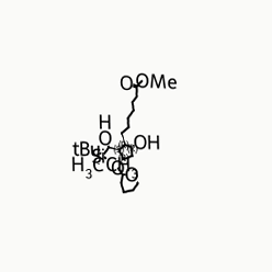 COC(=O)CCCCCC[C@@H]1[C@H](C(O)[Si](C)(C)C(C)(C)C)[C@H](OC2CCCCO2)C[C@H]1O